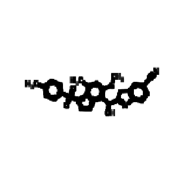 CSc1cc(C)c2c(ccn2S(=O)(=O)c2ccc(C)cc2)c1C(O)C1=Nc2ccc(C#N)cc2C1